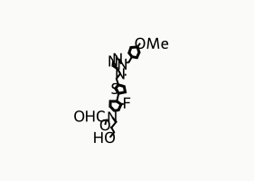 COc1ccc(Cn2nncc2N(C)Cc2ccc(-c3ccc(N4CC(CO)OC4C=O)cc3F)s2)cc1